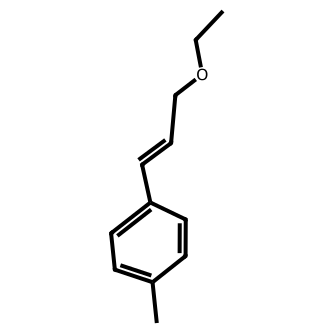 CCOC/C=C/c1ccc(C)cc1